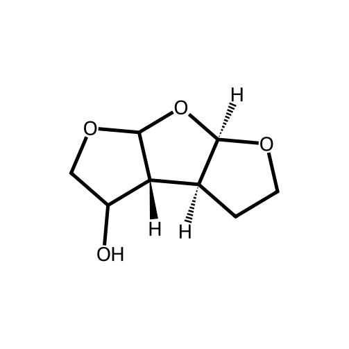 OC1COC2O[C@H]3OCC[C@H]3[C@H]12